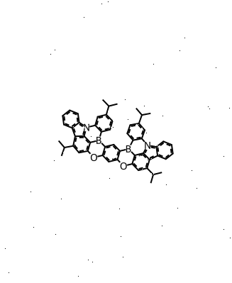 CC(C)c1ccc2c(c1)-n1c3ccccc3c3c(C(C)C)cc4c(c31)B2c1cc2c(cc1O4)Oc1cc(C(C)C)c3c4ccccc4n4c3c1B2c1ccc(C(C)C)cc1-4